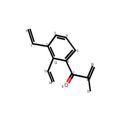 C=Cc1cccc(C(=O)C(=C)C)c1C=C